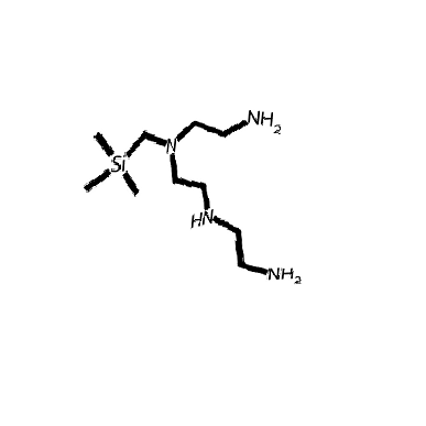 C[Si](C)(C)CN(CCN)CCNCCN